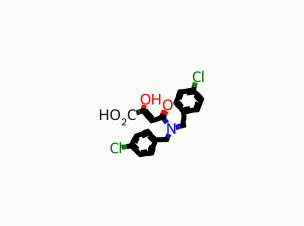 O=C(O)/C(O)=C/C(=O)N(Cc1ccc(Cl)cc1)Cc1ccc(Cl)cc1